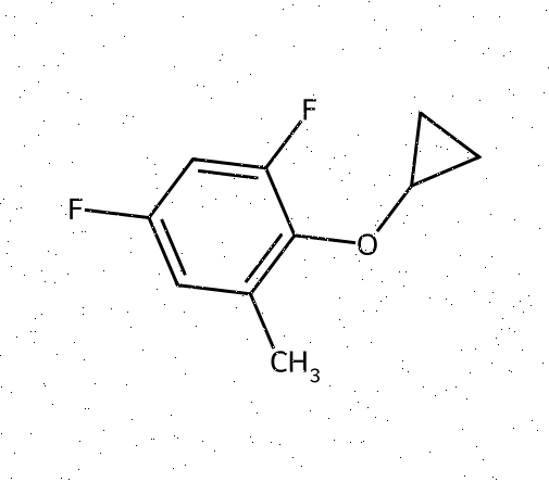 Cc1cc(F)cc(F)c1OC1CC1